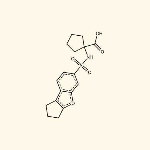 O=C(O)C1(NS(=O)(=O)c2ccc3c4c(oc3c2)CCC4)CCCC1